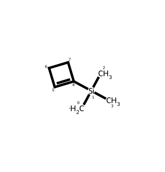 [CH2][Si](C)(C)C1=CCC1